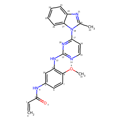 C=CC(=O)Nc1ccc(OC)c(Nc2nccc(-n3c(C)nc4ccccc43)n2)c1